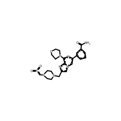 NC(=O)c1cccc(-c2cn3cc(CN4CCN(C=S(=O)=O)CC4)nc3c(N3CCOCC3)n2)c1